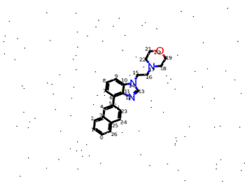 c1ccc2cc(-c3cccc4c3ncn4CCN3CCOCC3)ccc2c1